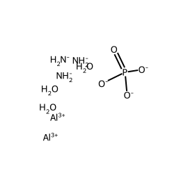 O.O.O.O=P([O-])([O-])[O-].[Al+3].[Al+3].[NH2-].[NH2-].[NH2-]